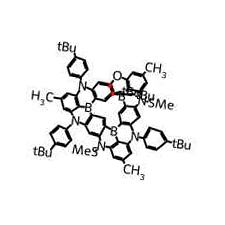 CSN1c2cc3c(cc2B2c4cc(C(C)(C)C)ccc4Oc4cc(C)cc1c42)B1c2cc4c(cc2N(SC)c2cc(C)cc(c21)N3c1ccc(C(C)(C)C)cc1)N(c1ccc(C(C)(C)C)cc1)c1cc(C)cc2c1B4c1cc(C(C)(C)C)ccc1N2c1ccc(C(C)(C)C)cc1